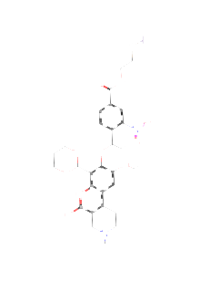 COc1cc2c3c(c(=O)oc2c(C2OCCCO2)c1OC(C)c1ccc(C(=O)OCCSI)cc1[N+](=O)[O-])CN(C)CC3